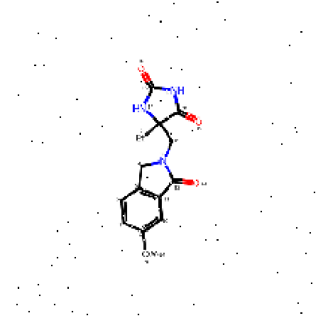 CCC1(CN2Cc3ccc(OC)cc3C2=O)NC(=O)NC1=O